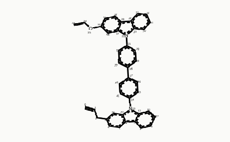 C=CCc1ccc2c3ccccc3n(-c3ccc(-c4ccc(-n5c6ccccc6c6ccc(OC=C)cc65)cc4)cc3)c2c1